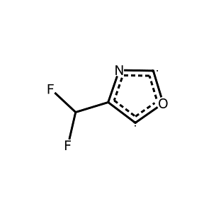 FC(F)c1[c]o[c]n1